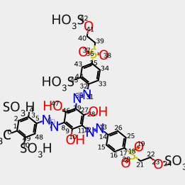 Cc1cc(S(=O)(=O)O)c(/N=N/c2c(O)c(N=Nc3ccc(S(=O)(=O)CCOS(=O)(=O)O)cc3)c(O)c(/N=N/c3ccc(S(=O)(=O)CCOS(=O)(=O)O)cc3S(=O)(=O)O)c2O)cc1S(=O)(=O)O